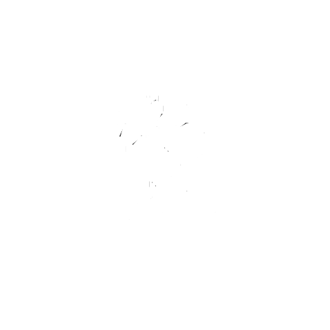 COC(=O)[C@@H]1[C@@H]2[C@H](CN1C(=O)[C@@H](NC(=O)OC(C)(C)C)C(C)(C)C1CC1)[C@@H]1C=C[C@H]2C1